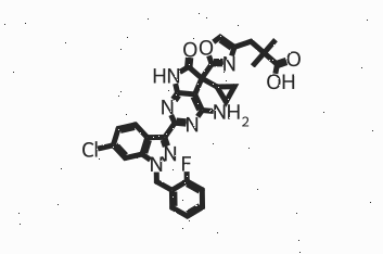 CC(C)(Cc1coc(C2(C3CC3)C(=O)Nc3nc(-c4nn(Cc5ccccc5F)c5cc(Cl)ccc45)nc(N)c32)n1)C(=O)O